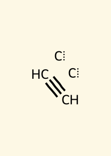 C#C.[C].[C]